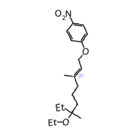 CCOC(C)(CC)CCC/C(C)=C/COc1ccc([N+](=O)[O-])cc1